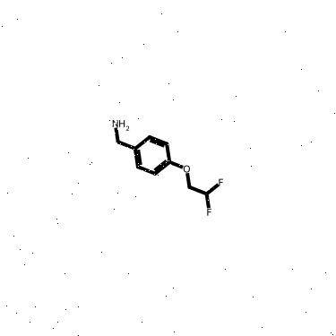 NCc1ccc(OCC(F)F)cc1